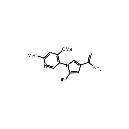 COc1cc(OC)c(-n2cc(C(N)=O)cc2C(C)C)cn1